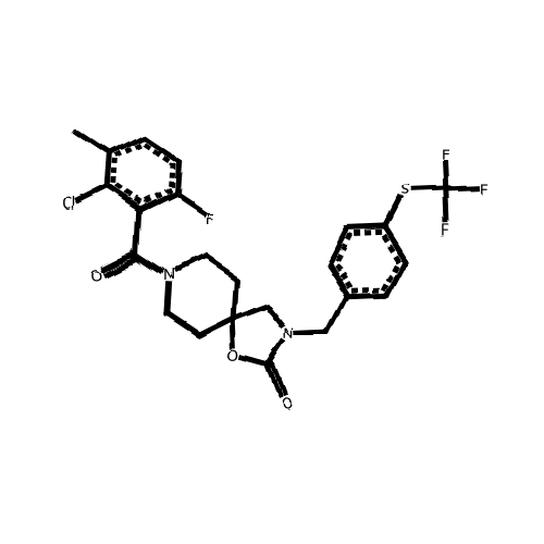 Cc1ccc(F)c(C(=O)N2CCC3(CC2)CN(Cc2ccc(SC(F)(F)F)cc2)C(=O)O3)c1Cl